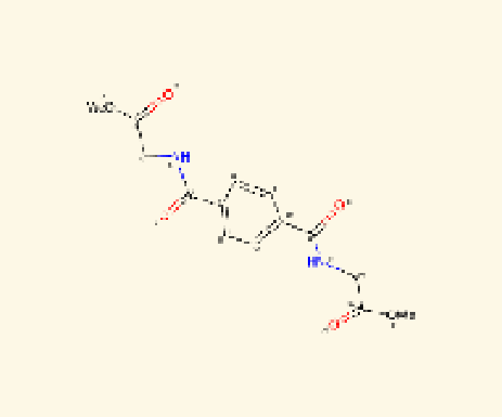 COC(=O)CNC(=O)c1ccc(C(=O)NCC(=O)OC)cc1